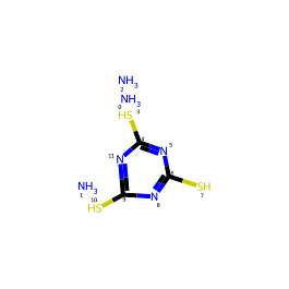 N.N.N.Sc1nc(S)nc(S)n1